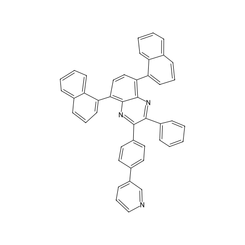 c1ccc(-c2nc3c(-c4cccc5ccccc45)ccc(-c4cccc5ccccc45)c3nc2-c2ccc(-c3cccnc3)cc2)cc1